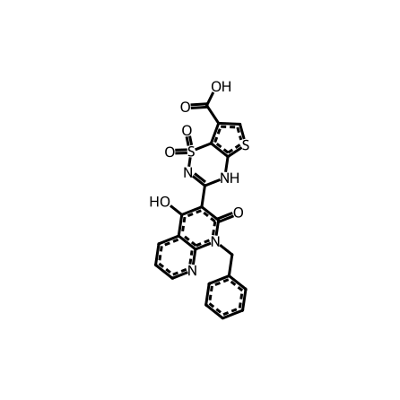 O=C(O)c1csc2c1S(=O)(=O)N=C(c1c(O)c3cccnc3n(Cc3ccccc3)c1=O)N2